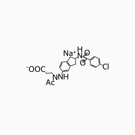 CC(=O)N(CCC(=O)[O-])Nc1ccc2c(c1)CC(NS(=O)(=O)c1ccc(Cl)cc1)C2.[Na+]